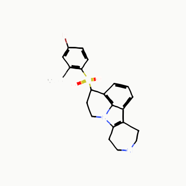 COc1cc(Br)ccc1S(=O)(=O)C1CCn2c3c(c4cccc1c42)CCNCC3